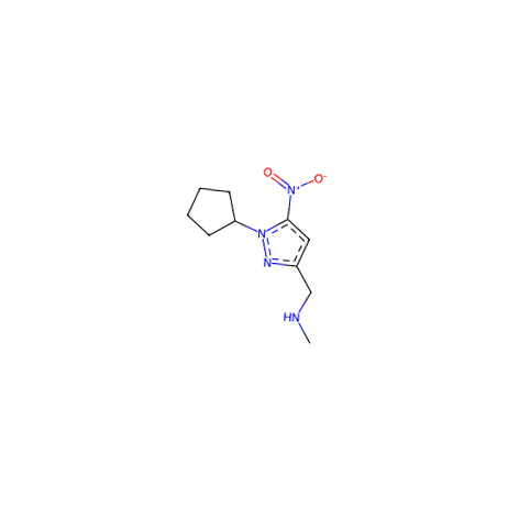 CNCc1cc([N+](=O)[O-])n(C2CCCC2)n1